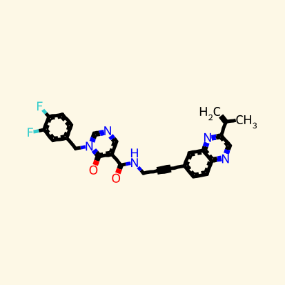 C=C(C)c1cnc2ccc(C#CCNC(=O)c3cncn(Cc4ccc(F)c(F)c4)c3=O)cc2n1